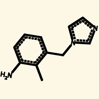 Cc1c(N)cccc1Cn1ccnc1